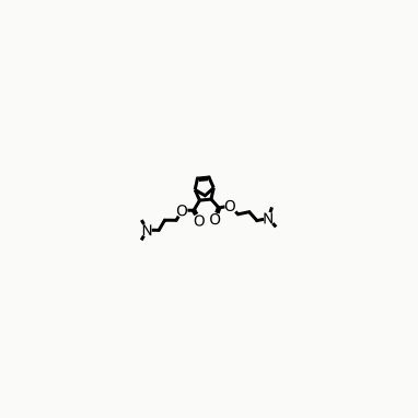 CN(C)CCCOC(=O)C1C2C=CC(C2)C1C(=O)OCCCN(C)C